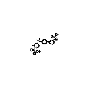 CC1CN(C(=O)c2ccc(-c3cccc(S(=O)(=O)C4CC4)c3)cc2)CCN1C(=O)C1(O)CC1